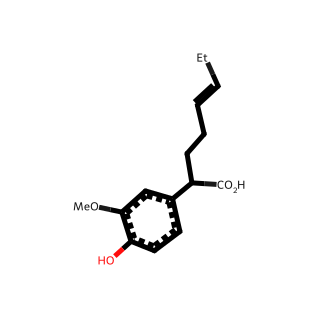 CCC=CCCC(C(=O)O)c1ccc(O)c(OC)c1